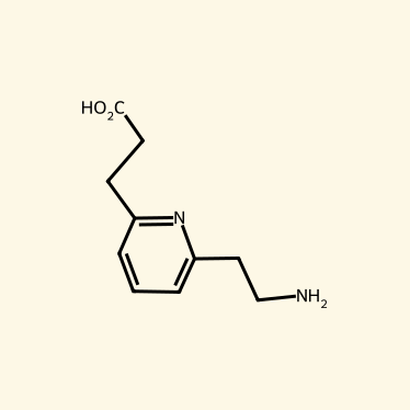 NCCc1cccc(CCC(=O)O)n1